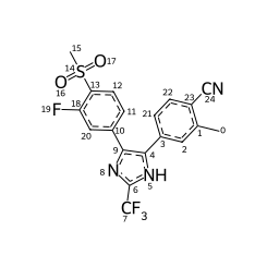 Cc1cc(-c2[nH]c(C(F)(F)F)nc2-c2ccc(S(C)(=O)=O)c(F)c2)ccc1C#N